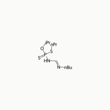 CCCCN=CNP(=S)(OC(C)C)SCCC